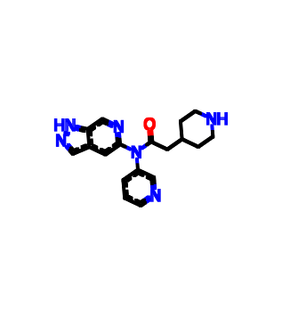 O=C(CC1CCNCC1)N(c1cccnc1)c1cc2cn[nH]c2cn1